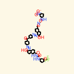 O=C(NC(=O)c1ccc2c(N=Nc3ccc(C(=O)c4ccc(N=Nc5c(O)ccc6cc(CO/N=C/ONc7cccc([N+](=O)[O-])c7)ccc56)cc4)cc3)c(O)ccc2c1)Nc1cccc(OC(F)(F)F)c1